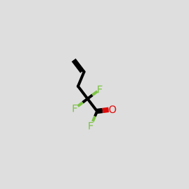 C=CCC(F)(F)C(=O)F